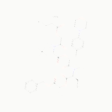 CN[C@@H](CC(C)C)C(=O)O[C@H](C)C(=O)N(C)[C@@H](CC(C)(C)F)C(=O)O[C@H](Cc1ccc(N2CCOCC2)cc1)C(=O)N(C)[C@@H](CC(C)C)C(=O)O[C@H](C)C(=O)OCc1ccccc1